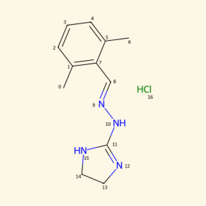 Cc1cccc(C)c1C=NNC1=NCCN1.Cl